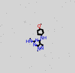 CNc1nc(Nc2ccc(OC)cc2)c2cnn(C)c2n1